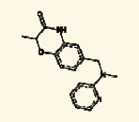 CC1Oc2ccc(CN(C)c3ccccn3)cc2NC1=O